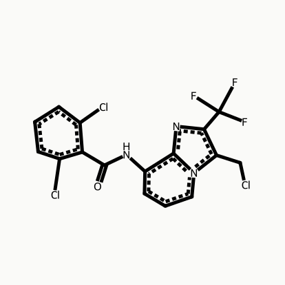 O=C(Nc1cccn2c(CCl)c(C(F)(F)F)nc12)c1c(Cl)cccc1Cl